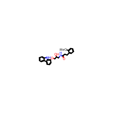 COc1ccccc1CCC(=O)NCC(O)COc1cccc2c1[nH]c1ccccc12